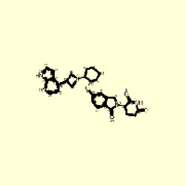 O=C1CC[C@@H](N2Cc3cc(O[C@H]4CCCC[C@@H]4N4CC(c5ccnc6[nH]ccc56)C4)ccc3C2=O)C(=O)N1